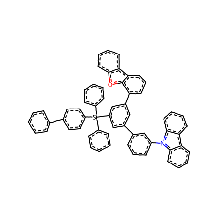 c1ccc(-c2ccc([Si](c3ccccc3)(c3ccccc3)c3cc(-c4cccc(-n5c6ccccc6c6ccccc65)c4)cc(-c4cccc5c4oc4ccccc45)c3)cc2)cc1